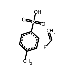 C=CF.Cc1ccc(S(=O)(=O)O)cc1